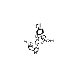 C[C@@H]1CCc2ncnc(N3CCN(C(=O)C4(c5ccc(Cl)cc5)CCN(C(=O)O)C4)CC3)c21